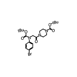 CC(C)(C)OC(=O)N1CCN(C(=O)CN(C(=O)OC(C)(C)C)c2ccc(Br)cc2)CC1